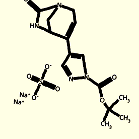 CC(C)(C)OC(=O)n1cc(C2=CCN3CC2NC3=O)cn1.O=S(=O)([O-])[O-].[Na+].[Na+]